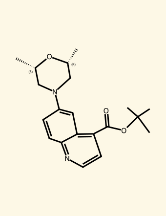 C[C@@H]1CN(c2ccc3nccc(C(=O)OC(C)(C)C)c3c2)C[C@H](C)O1